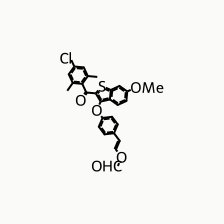 COc1ccc2c(Oc3ccc(/C=C/OC=O)cc3)c(C(=O)c3c(C)cc(Cl)cc3C)sc2c1